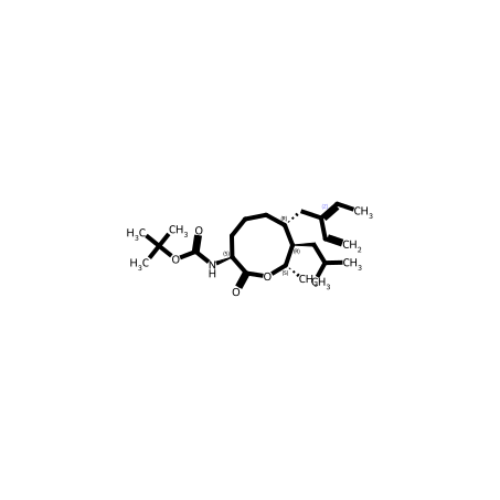 C=C/C(=C\C)C[C@H]1CCC[C@H](NC(=O)OC(C)(C)C)C(=O)O[C@@H](C)[C@@H]1CC(C)C